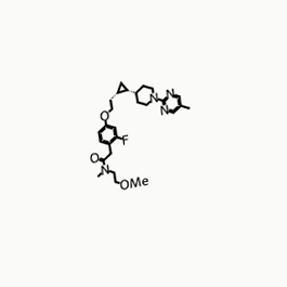 COCCN(C)C(=O)Cc1ccc(OCC[C@@H]2C[C@@H]2C2CCN(c3ncc(C)cn3)CC2)cc1F